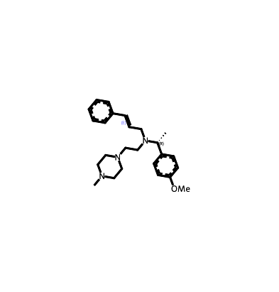 COc1ccc([C@@H](C)N(C/C=C/c2ccccc2)CCN2CCN(C)CC2)cc1